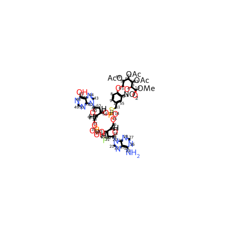 COC(=O)C1OC(Oc2ccc(CSP3(=O)OC[C@H]4O[C@@H](n5cnc6c(N)ncnc65)[C@H](F)[C@@H]4OP(=O)(O)OC[C@H]4O[C@@H](n5cnc6c(O)ncnc65)C[C@@H]4O3)cc2[N+](=O)[O-])C(OC(C)=O)C(OC(C)=O)C1OC(C)=O